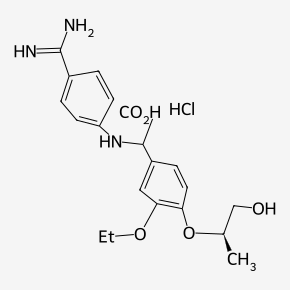 CCOc1cc(C(Nc2ccc(C(=N)N)cc2)C(=O)O)ccc1O[C@H](C)CO.Cl